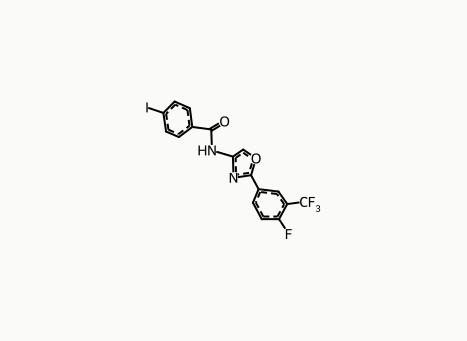 O=C(Nc1coc(-c2ccc(F)c(C(F)(F)F)c2)n1)c1ccc(I)cc1